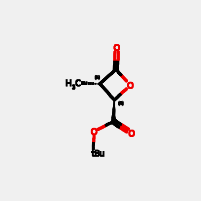 C[C@@H]1C(=O)O[C@H]1C(=O)OC(C)(C)C